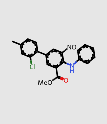 COC(=O)c1cc(-c2ccc(C)cc2Cl)cc([N+](=O)[O-])c1Nc1ccccc1